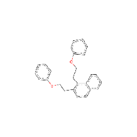 c1ccc(OCCc2ccc3ccccc3c2CCOc2ccccc2)cc1